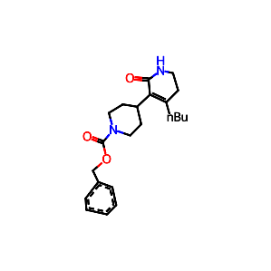 CCCCC1=C(C2CCN(C(=O)OCc3ccccc3)CC2)C(=O)NCC1